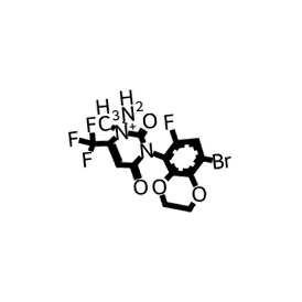 C[N+]1(N)C(=O)N(c2c(F)cc(Br)c3c2OCCO3)C(=O)C=C1C(F)(F)F